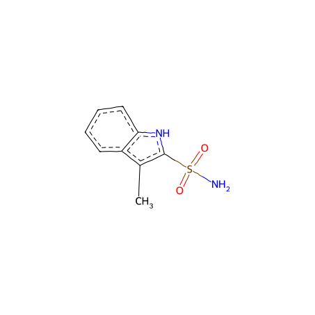 Cc1c(S(N)(=O)=O)[nH]c2ccccc12